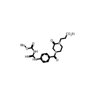 CCOC(=O)CCN1CCN(C(=O)c2ccc(NC(=N)NC(=O)OC(C)(C)C)cc2)CC1=O